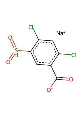 O=C([O-])c1cc([SH](=O)=O)c(Cl)cc1Cl.[Na+]